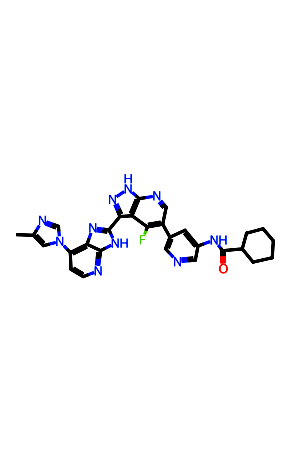 Cc1cn(-c2ccnc3[nH]c(-c4n[nH]c5ncc(-c6cncc(NC(=O)C7CCCCC7)c6)c(F)c45)nc23)cn1